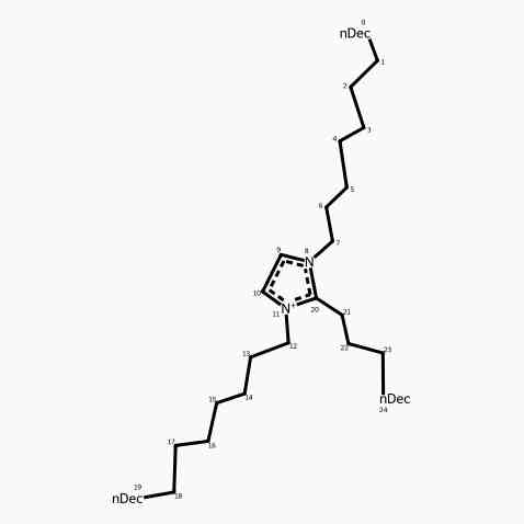 CCCCCCCCCCCCCCCCCn1cc[n+](CCCCCCCCCCCCCCCCC)c1CCCCCCCCCCCCC